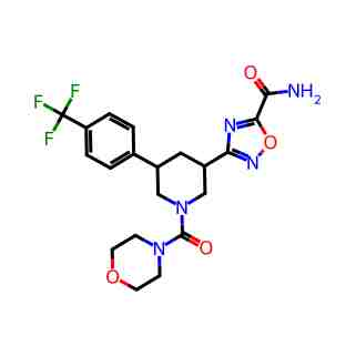 NC(=O)c1nc(C2CC(c3ccc(C(F)(F)F)cc3)CN(C(=O)N3CCOCC3)C2)no1